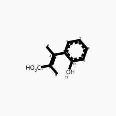 CC(C(=O)O)=C(C)c1ccccc1O